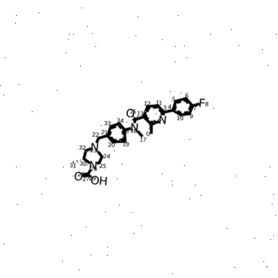 Cc1nc(-c2ccc(F)cc2)ccc1C(=O)N(C)c1ccc(CN2CCN(C(=O)O)[C@H](C)C2)cc1